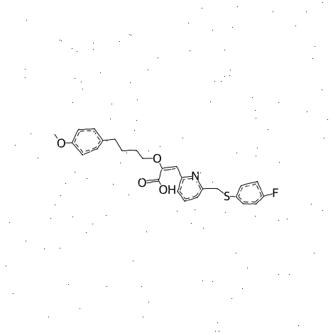 COc1ccc(CCCCO/C(=C/c2cccc(CSc3ccc(F)cc3)n2)C(=O)O)cc1